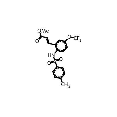 COC(=O)/C=C/c1cc(OC(F)(F)F)ccc1NS(=O)(=O)c1ccc(C)cc1